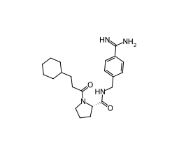 N=C(N)c1ccc(CNC(=O)[C@@H]2CCCN2C(=O)CCC2CCCCC2)cc1